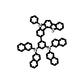 c1ccc(-n2c3ccc(-c4cc(N(c5ccc6ccccc6c5)c5ccc6ccccc6c5)cc(N(c5ccc6ccccc6c5)c5ccc6ccccc6c5)c4)cc3c3c4sc5ccccc5c4ccc32)cc1